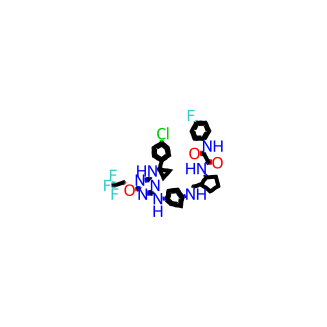 O=C(Nc1ccc(F)cc1)C(=O)NC1CCCC1CNc1ccc(Nc2nc(NC3(c4ccc(Cl)cc4)CC3)nc(OCC(F)(F)F)n2)cc1